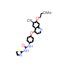 [C-]#[N+]c1cc2c(Oc3ccc(NC(=O)Nc4nccs4)cc3)ccnc2cc1OCCOC